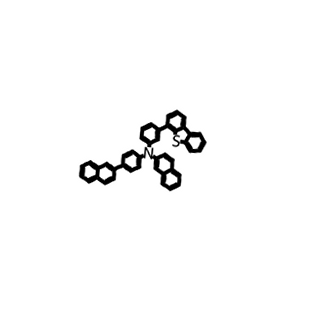 c1cc(-c2cccc3c2sc2ccccc23)cc(N(c2ccc(-c3ccc4ccccc4c3)cc2)c2ccc3ccccc3c2)c1